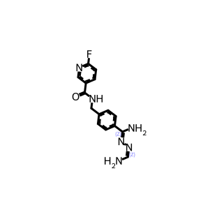 N/C=N\N=C(/N)c1ccc(CNC(=O)c2ccc(F)nc2)cc1